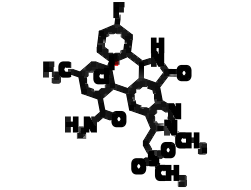 Cn1nc2c3c(c(-c4c(F)cc(C(F)(F)F)cc4C(N)=O)cc2c1CS(C)(=O)=O)C(c1cc(F)ccc1Cl)NC3=O